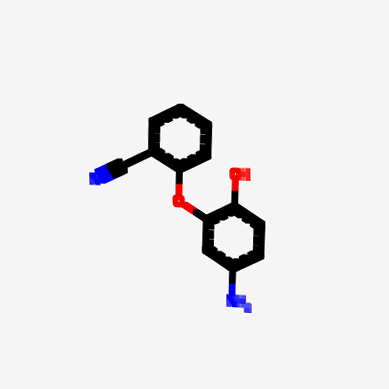 N#Cc1ccccc1Oc1cc(N)ccc1O